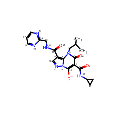 CC(C)Cn1c(=O)c(C(=O)NC2CC2)c(O)n2ncc(C(=O)NCc3ncccn3)c12